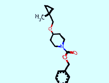 CC1(COC2CCN(C(=O)OCc3ccccc3)CC2)CC1